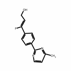 Cc1ccnc(-c2ccc(C(F)=CCO)cc2)n1